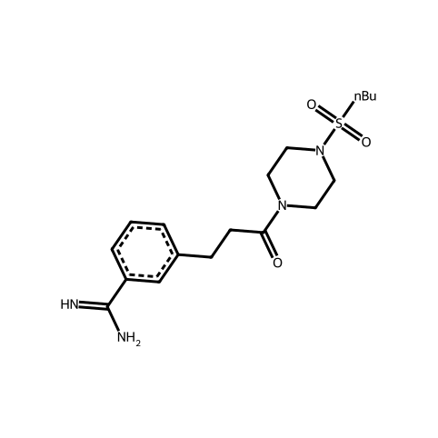 CCCCS(=O)(=O)N1CCN(C(=O)CCc2cccc(C(=N)N)c2)CC1